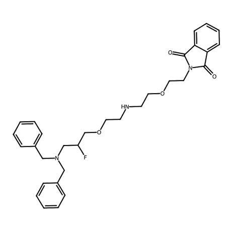 O=C1c2ccccc2C(=O)N1CCOCCNCCOCC(F)CN(Cc1ccccc1)Cc1ccccc1